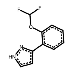 FC(F)Oc1ccccc1-c1cc[nH]n1